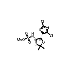 COS(=O)(=O)N[C@H]1OC(C)(C)O[C@H]1c1sc(Cl)nc1Cl